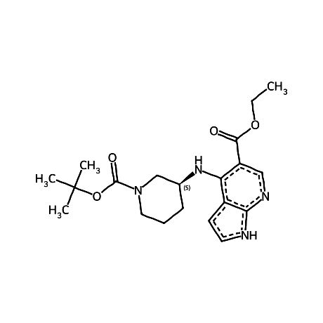 CCOC(=O)c1cnc2[nH]ccc2c1N[C@H]1CCCN(C(=O)OC(C)(C)C)C1